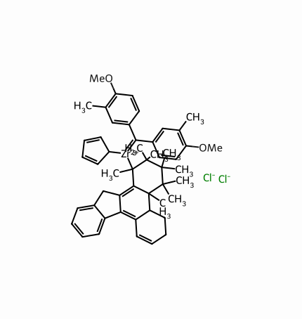 COc1ccc([C](c2ccc(OC)c(C)c2)=[Zr+2]([CH]2C=CC=C2)[C]2(C)C3=C4Cc5ccccc5C4=C4C=CCCC4C3(C)C(C)(C)C(C)(C)C2(C)C)cc1C.[Cl-].[Cl-]